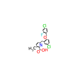 Cc1ccc(Cc2cc(Cl)ccc2OCc2ccc(Cl)cc2F)nc1C(=O)O